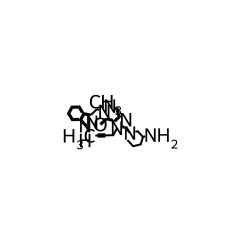 CC#CCn1c(N2CCCC(N)C2)nc2cnn(C(C)c3n[nH]c4ccccc34)c(=O)c21